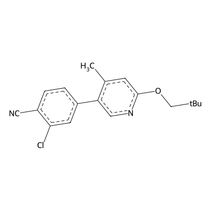 Cc1cc(OCC(C)(C)C)ncc1-c1ccc(C#N)c(Cl)c1